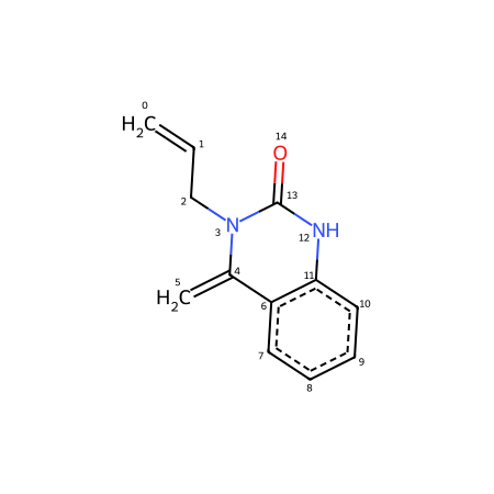 C=CCN1C(=C)c2ccccc2NC1=O